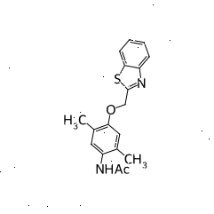 CC(=O)Nc1cc(C)c(OCc2nc3ccccc3s2)cc1C